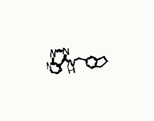 c1cnc2ncnc(NCc3ccc4c(c3)CCC4)c2c1